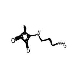 Cc1c(NCCCN)c(=O)c1=O